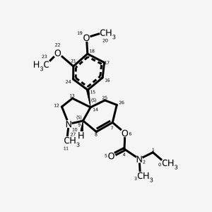 CCN(C)C(=O)OC1=C[C@@H]2N(C)CC[C@]2(c2ccc(OC)c(OC)c2)CC1